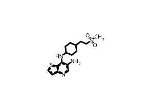 CS(=O)(=O)CCC1CCC(Nc2c(N)cnc3ccsc23)CC1